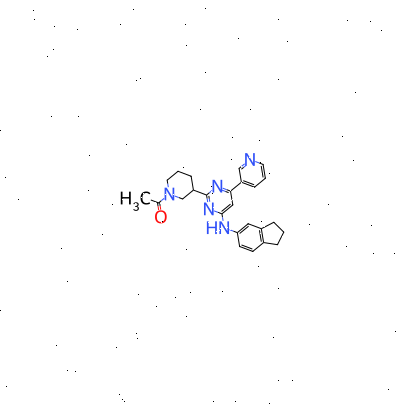 CC(=O)N1CCCC(c2nc(Nc3ccc4c(c3)CCC4)cc(-c3cccnc3)n2)C1